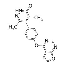 Cc1n[nH]c(=O)c(C)c1-c1ccc(Oc2ncnc3occc23)cc1